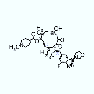 C/C(=C\c1cc(F)c2nnn(N3CCOC3)c2c1)[C@H]1C(=O)C(=O)C[C@H](O)CC[C@H](C)[C@@H](OC(=O)N2CCN(C)CC2)/C=C/[C@@H]1C